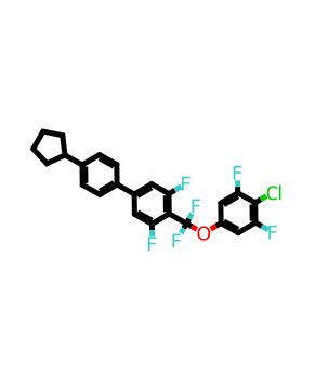 Fc1cc(OC(F)(F)c2c(F)cc(-c3ccc(C4CCCC4)cc3)cc2F)cc(F)c1Cl